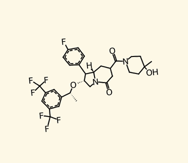 C[C@@H](O[C@H]1CN2C(=O)CC(C(=O)N3CCC(C)(O)CC3)C[C@H]2C1c1ccc(F)cc1)c1cc(C(F)(F)F)cc(C(F)(F)F)c1